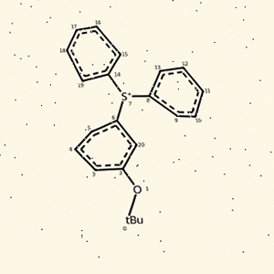 CC(C)(C)Oc1cccc([S+](c2ccccc2)c2ccccc2)c1